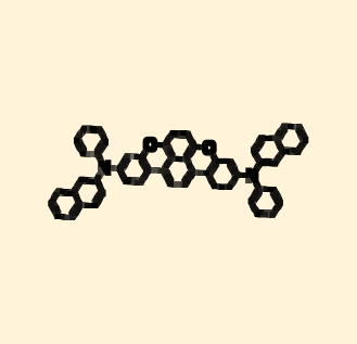 C1=C(N(c2ccccc2)c2ccc3ccccc3c2)CCC2=C1Oc1ccc3c4c(ccc2c14)-c1ccc(N(c2ccccc2)c2ccc4ccccc4c2)cc1O3